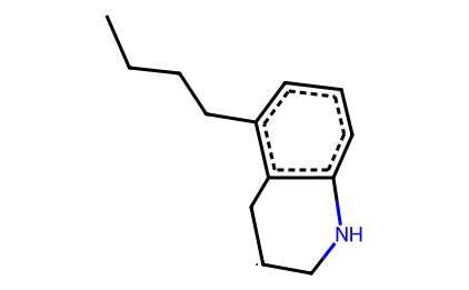 CCCCc1cccc2c1C[CH]CN2